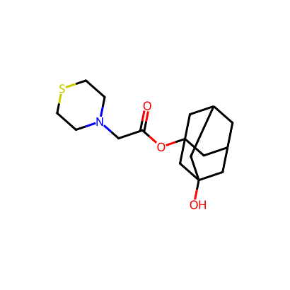 O=C(CN1CCSCC1)OC12CC3CC(CC(O)(C3)C1)C2